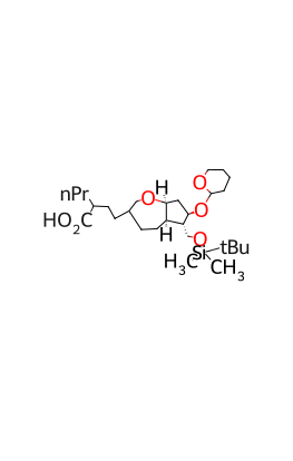 CCCC(CCC1CC[C@@H]2[C@@H](CO[Si](C)(C)C(C)(C)C)[C@H](OC3CCCCO3)C[C@@H]2OC1)C(=O)O